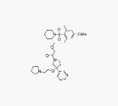 COc1cc(C)c(S(=O)(=O)N2CCCC[C@H]2COCC(=O)N2CCC(OCCN3CCCC3)(c3cccnc3)C2)c(C)c1